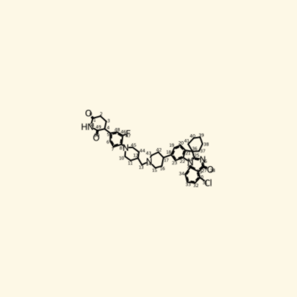 O=C1CCC(c2ccc(N3CCC(CN4CCC(c5ccc6c(c5)-n5c(nc(=O)c7c(Cl)cccc75)C65CCCCC5)CC4)CC3)c(F)c2)C(=O)N1